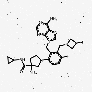 Nc1ncnc2c1ncn2Cc1c(N2CCC(N)(C(=O)NC3CC3)C2)ccc(F)c1CN1CC(F)C1